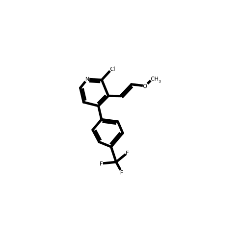 CO/C=C/c1c(-c2ccc(C(F)(F)F)cc2)ccnc1Cl